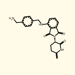 C=C1CC[C@@H](N2C(=O)c3cccc(NCc4ccc(CN)cc4)c3C2=O)C(=O)N1